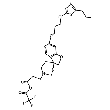 CCCc1ncc(OCCCOc2ccc3c(c2)OCC32CCN(CCC(=O)OC(=O)C(F)(F)F)CC2)s1